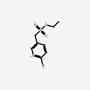 CCOS(=O)(=O)Cc1ccc(Br)nc1